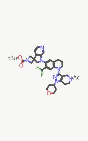 CC(=O)N1CCc2c(c(N3CCCc4cc(N5CC6(CN(C(=O)OC(C)(C)C)C6)c6ccncc65)c(C(F)F)cc43)nn2C2CCOCC2)C1